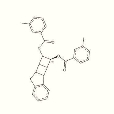 Cc1cccc(C(=O)OC2C3C4Cc5ccccc5C4C3[C@@H]2OC(=O)c2cccc(C)c2)c1